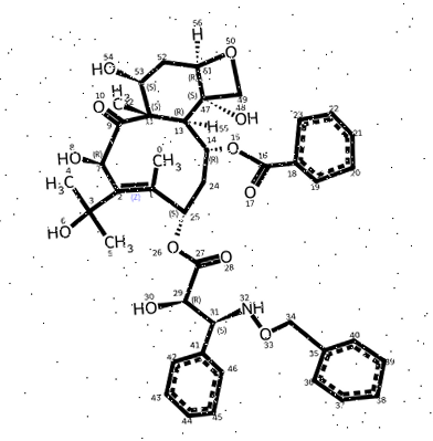 C/C1=C(/C(C)(C)O)[C@@H](O)C(=O)[C@@]2(C)[C@H]([C@H](OC(=O)c3ccccc3)C[C@@H]1OC(=O)[C@H](O)[C@@H](NOCc1ccccc1)c1ccccc1)[C@]1(O)CO[C@@H]1C[C@@H]2O